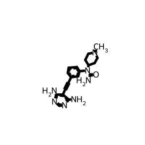 CN1CCC(N(C(N)=O)c2cccc(C#Cc3c(N)ncnc3N)c2)CC1